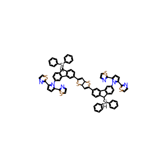 C1=C(c2ccc3c(c2)-c2cc(-n4c(-c5nccs5)ccc4-c4nccs4)ccc2C3[SiH](c2ccccc2)c2ccccc2)SC2C=C(c3ccc4c(c3)-c3cc(-n5c(-c6nccs6)ccc5-c5nccs5)ccc3C4[SiH](c3ccccc3)c3ccccc3)SC12